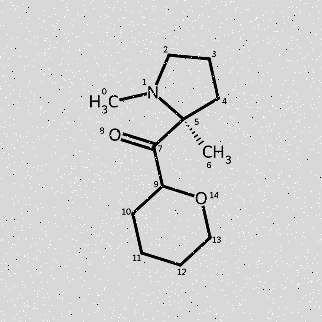 CN1CCC[C@@]1(C)C(=O)C1CCCCO1